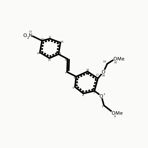 COCOc1ccc(C=Cc2ccc([N+](=O)[O-])cc2)cc1OCOC